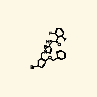 O=C(Nc1ccn(Cc2cc(Br)ccc2OCc2ccccc2)n1)c1c(F)cccc1F